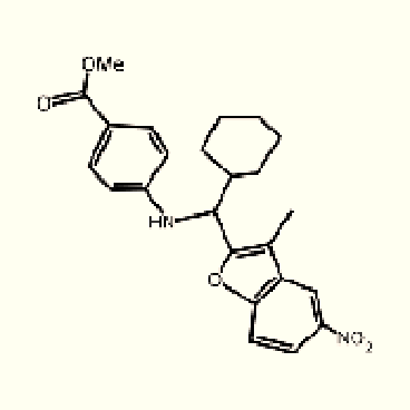 COC(=O)c1ccc(NC(c2oc3ccc([N+](=O)[O-])cc3c2C)C2CCCCC2)cc1